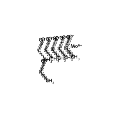 CCCCCCCC/C=C\CCCCCCCC(=O)[O-].CCCCCCCC/C=C\CCCCCCCC(=O)[O-].CCCCCCCC/C=C\CCCCCCCC(=O)[O-].CCCCCCCC/C=C\CCCCCCCC(=O)[O-].CCCCCCCC/C=C\CCCCCCCC(=O)[O-].CCCCCCCC/C=C\CCCCCCCC(=O)[O-].[Mo+6]